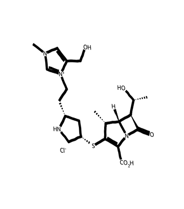 C[C@@H](O)[C@H]1C(=O)N2C(C(=O)O)=C(S[C@@H]3CN[C@H](CC[n+]4cn(C)cc4CO)C3)[C@H](C)[C@H]12.[Cl-]